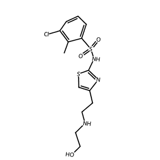 Cc1c(Cl)cccc1S(=O)(=O)Nc1nc(CCNCCO)cs1